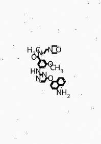 COc1cc(Nc2nccc(Oc3ccc(N)c4ccccc34)n2)cc(C(=O)N(C)CCN2CCOCC2)c1